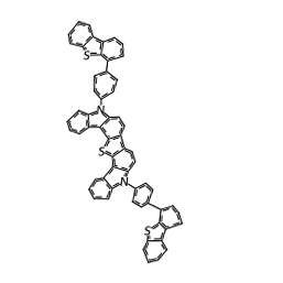 c1ccc2c(c1)sc1c(-c3ccc(-n4c5ccccc5c5c6sc7c(ccc8c7c7ccccc7n8-c7ccc(-c8cccc9c8sc8ccccc89)cc7)c6ccc54)cc3)cccc12